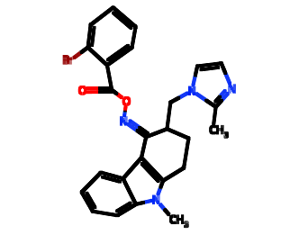 Cc1nccn1CC1CCc2c(c3ccccc3n2C)/C1=N/OC(=O)c1ccccc1Br